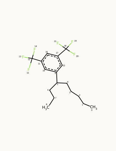 CCCCCC(CCC)c1cc(C(F)(F)F)cc(C(F)(F)F)c1